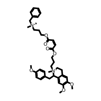 COc1ccc(CC2c3cc(OC)c(OC)cc3CC[N+]2(C)CCCOC(=O)/C=C\C(=O)OCCC[N+](C)(C)Cc2ccccc2)cc1